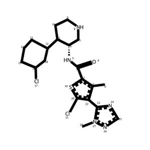 Cc1c(C(=O)N[C@H]2CNCCC2C2CCCC(Cl)C2)sc(Cl)c1-c1ncnn1C